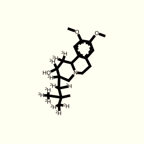 [2H]C([2H])([2H])C(C)(C([2H])([2H])[2H])C([2H])([2H])C1([2H])CN2CCc3cc(OC)c(OC)cc3C2C([2H])([2H])C1([2H])O